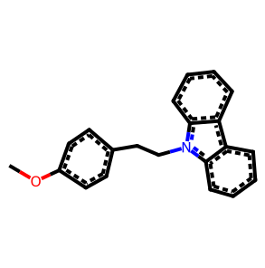 COc1ccc(CCn2c3ccccc3c3ccccc32)cc1